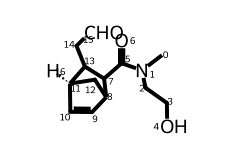 CN(CCO)C(=O)C1C2C=C[C@H](C2)C1CC=O